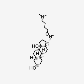 CN(C)CCCCON(C)C[C@H]1CC[C@]2(O)[C@@H]3CC[C@@H]4C[C@@H](O)CC[C@]4(C)[C@H]3CC[C@]12C